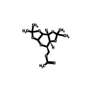 CC(=O)OC[C@H]1OC2OC(C)(C)OC2[C@@H]2OC(C)(C)O[C@@H]12